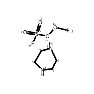 C1CNCCN1.O=S(=O)(F)OOF